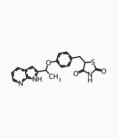 CC(Oc1ccc(CC2SC(=O)NC2=O)cc1)c1cc2cccnc2[nH]1